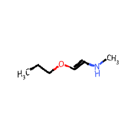 CCCOC=CNC